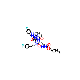 C=CCOC(=O)NCCC[C@H]1C(=O)N(CCCc2ccc(F)cc2)C[C@H]2N1C(=O)CN(C)N2C(=O)NCc1ccc(F)cc1